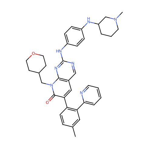 Cc1ccc(-c2cc3cnc(Nc4ccc(NC5CCCN(C)C5)cc4)nc3n(CC3CCOCC3)c2=O)c(-c2ccccn2)c1